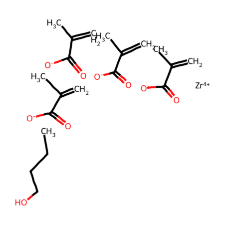 C=C(C)C(=O)[O-].C=C(C)C(=O)[O-].C=C(C)C(=O)[O-].C=C(C)C(=O)[O-].CCCCO.[Zr+4]